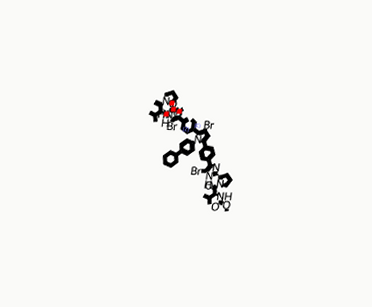 C=C(/C=C\C(=C/C)c1c(Br)cc(-c2ccc(-c3nc([C@@H]4CCCN4C(=O)[C@@H](NC(=O)OC)C(C)C)[nH]c3Br)cc2)n1-c1ccc(C2CCCCC2)cc1)c1nc([C@@H]2CCCN2C(=C)[C@@H](NC(=O)OC)C(C)C)[nH]c1Br